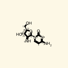 N=C1[C@H](n2ccc(N)nc2=O)O[C@H](CO)[C@H]1O